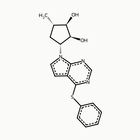 [CH2][C@H]1C[C@@H](n2ccc3c(Sc4ccccc4)ncnc32)[C@H](O)[C@@H]1O